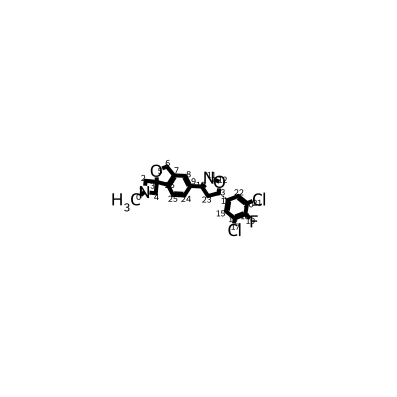 CN1CC2(C1)OCc1cc(C3=NO[C@H](c4cc(Cl)c(F)c(Cl)c4)C3)ccc12